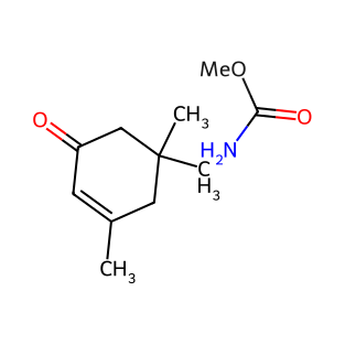 CC1=CC(=O)CC(C)(C)C1.COC(N)=O